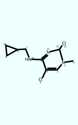 CN1C=C(Cl)C(NCC2CC2)=NC1Cl